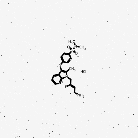 Cc1c(Oc2ccc(S(=O)(=O)N(C)C)cc2)c2ccccc2n1C/C(F)=C/CN.Cl